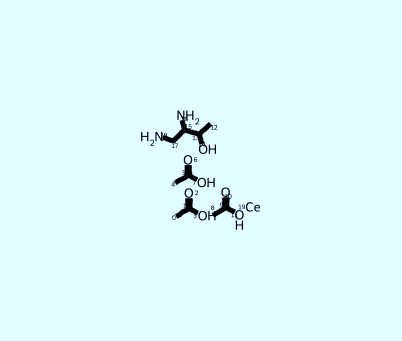 CC(=O)O.CC(=O)O.CC(=O)O.CC(O)C(N)CN.[Ce]